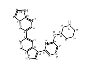 c1cc2cc(-c3ccc4[nH]cc(-c5cncc(O[C@@H]6CCCNC6)n5)c4c3)cnc2[nH]1